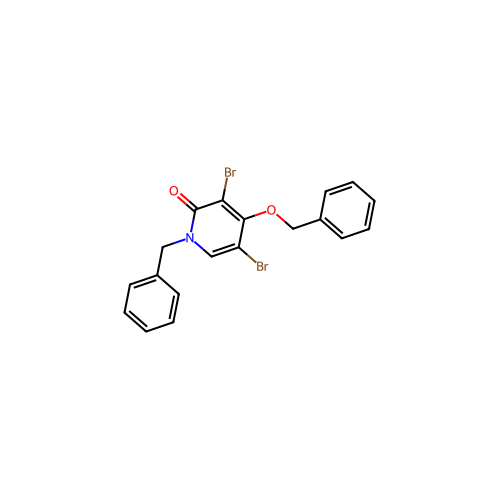 O=c1c(Br)c(OCc2ccccc2)c(Br)cn1Cc1ccccc1